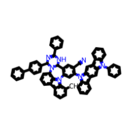 Cc1cccc2c3cccc4c3n(c12)-c1cc(-n2c3ccccc3c3cc5c(cc32)c2ccccc2n5-c2ccccc2)c(C#N)cc1C1NC(c2ccccc2)=NC(c2ccc(-c3ccccc3)cc2)N41